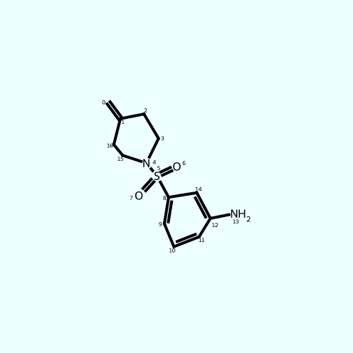 C=C1CCN(S(=O)(=O)c2cccc(N)c2)CC1